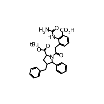 CC(C)(C)OC(=O)C1CC(Cc2ccccc2)C(c2ccccc2)N1C(=O)Cc1cccc(C(=O)O)c1NC(N)=O